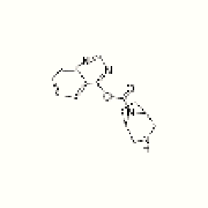 O=C(Oc1ncnc2ccccc12)N1C2CCC1CNC2